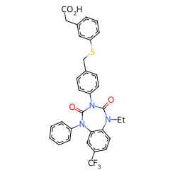 CCN1C(=O)N(c2ccc(CSc3cccc(CC(=O)O)c3)cc2)C(=O)N(c2ccccc2)c2cc(C(F)(F)F)ccc21